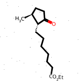 CCOC(=O)CCCCCC[C@H]1C(=O)CC[C@@H]1C